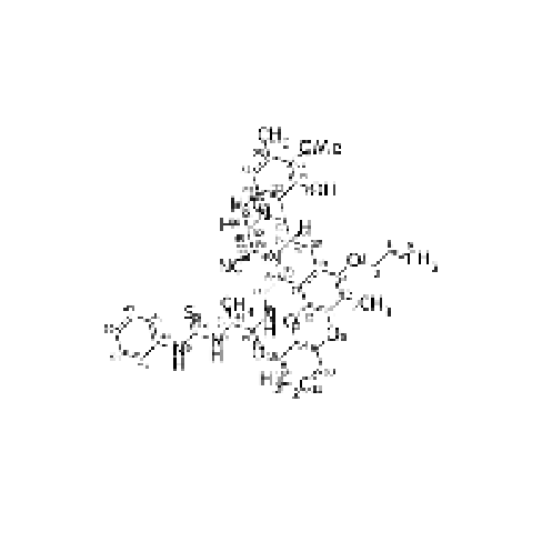 C=CCOc1c(C)c(OCC=C)c(OCC=C)c2c1C[C@H]1C3c4c(cc(C)c(OC)c4O)C[C@H]([C@H](C#N)N1[C@H]2CNC(=O)[C@H](C)NC(=S)Nc1ccccc1)N3C